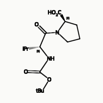 CC(C)[C@@H](NC(=O)OC(C)(C)C)C(=O)N1CCC[C@@H]1C(=O)O